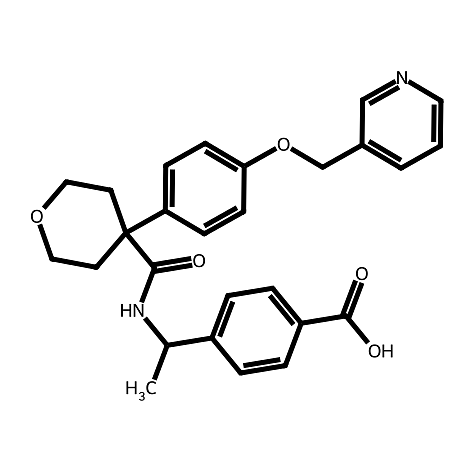 CC(NC(=O)C1(c2ccc(OCc3cccnc3)cc2)CCOCC1)c1ccc(C(=O)O)cc1